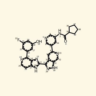 O=C(Nc1cncc(-c2cc3c(-c4nc5c(-c6cc(O)cc(F)c6)nccc5[nH]4)n[nH]c3cn2)c1)C1CCCC1